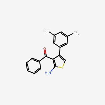 Nc1scc(-c2cc(C(F)(F)F)cc(C(F)(F)F)c2)c1C(=O)c1ccccc1